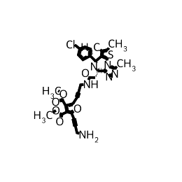 COC(=O)c1c(C#CCN)oc(C#CCNC(=O)C[C@@H]2N=C(c3ccc(Cl)cc3)c3c(sc(C)c3C)-n3c(C)nnc32)c1C(=O)OC